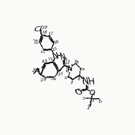 CC(C)(C)OC(=O)NC1CCN(c2nn(-c3ccc(Cl)cc3)c3cnccc23)CC1